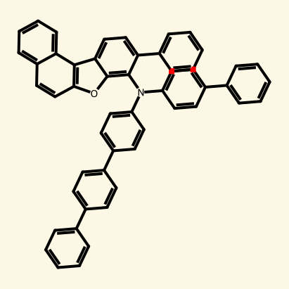 c1ccc(-c2ccc(-c3ccc(N(c4ccc(-c5ccccc5)cc4)c4c(-c5ccccc5)ccc5c4oc4ccc6ccccc6c45)cc3)cc2)cc1